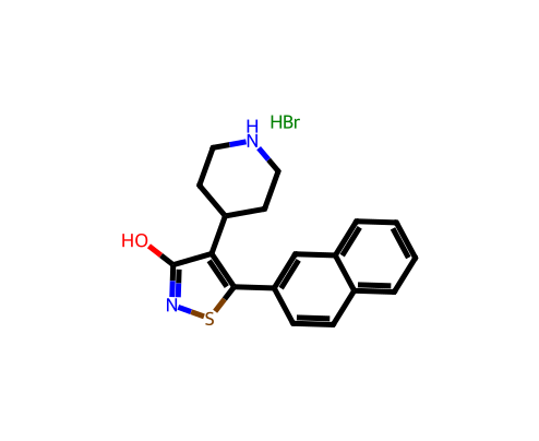 Br.Oc1nsc(-c2ccc3ccccc3c2)c1C1CCNCC1